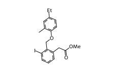 CCc1ccc(OCc2c(I)cccc2CC(=O)OC)c(C)c1